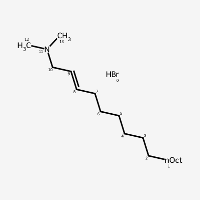 Br.CCCCCCCCCCCCCCC=CCN(C)C